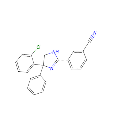 N#Cc1cccc(C2=NC(c3ccccc3)(c3ccccc3Cl)CN2)c1